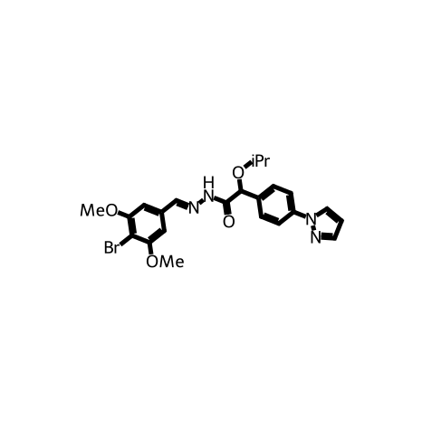 COc1cc(/C=N/NC(=O)C(OC(C)C)c2ccc(-n3cccn3)cc2)cc(OC)c1Br